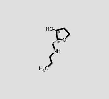 CCCNC[C@H]1OCC[C@H]1O